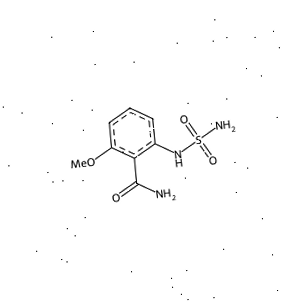 COc1cccc(NS(N)(=O)=O)c1C(N)=O